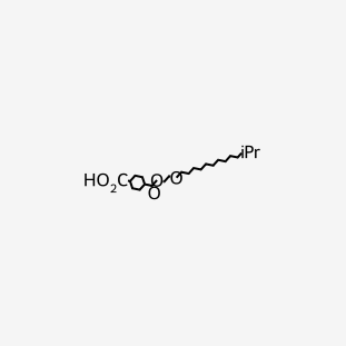 CC(C)CCCCCCCCCCOCCOC(=O)C1CCC(C(=O)O)CC1